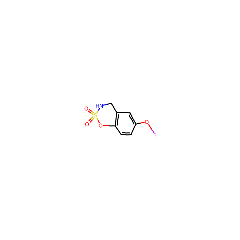 O=S1(=O)NCc2cc(OI)ccc2O1